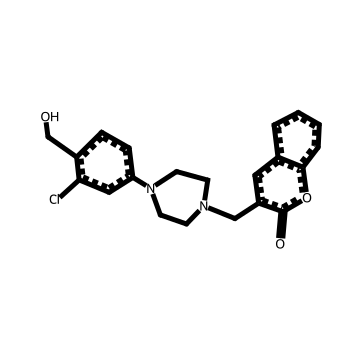 O=c1oc2ccccc2cc1CN1CCN(c2ccc(CO)c(Cl)c2)CC1